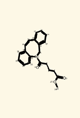 O=C(CCCC(=O)N1Cc2ccccc2/C=C\c2ccccc21)OI